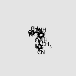 Cc1cc(C#N)cnc1C(=O)Nc1ccc2[nH]nc(-c3cnoc3C)c2c1